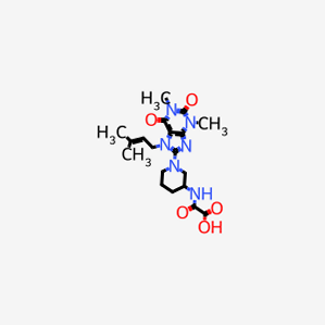 CC(C)=CCn1c(N2CCCC(NC(=O)C(=O)O)C2)nc2c1c(=O)n(C)c(=O)n2C